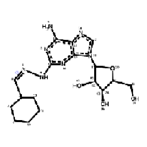 Nc1nc(N/N=C\C2CCCCC2)nc2c1ncn2C1OC(CO)[C@@H](O)[C@H]1O